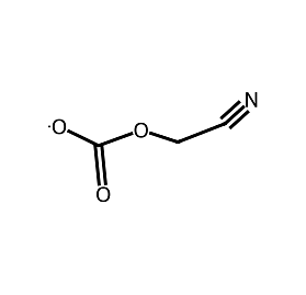 N#CCOC([O])=O